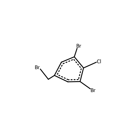 Clc1c(Br)cc(CBr)cc1Br